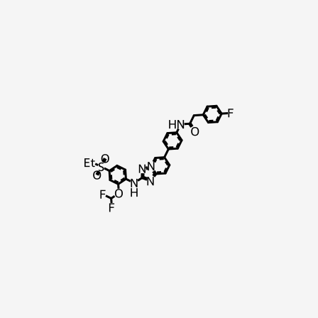 CCS(=O)(=O)c1ccc(Nc2nc3ccc(-c4ccc(NC(=O)Cc5ccc(F)cc5)cc4)cn3n2)c(OC(F)F)c1